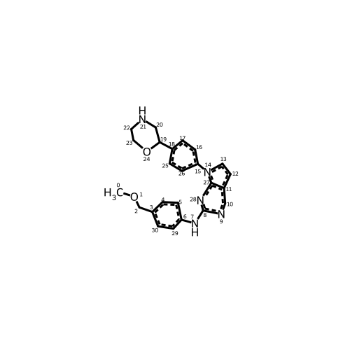 COCc1ccc(Nc2ncc3ccn(-c4ccc(C5CNCCO5)cc4)c3n2)cc1